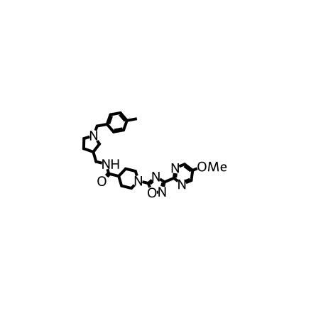 COc1cnc(-c2noc(N3CCC(C(=O)NCC4CCN(Cc5ccc(C)cc5)C4)CC3)n2)nc1